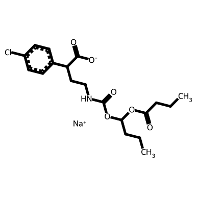 CCCC(=O)OC(CCC)OC(=O)NCCC(C(=O)[O-])c1ccc(Cl)cc1.[Na+]